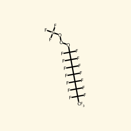 FC(F)(F)C(F)(F)C(F)(F)C(F)(F)C(F)(F)C(F)(F)C(F)(F)C(F)(F)OOO[Si](F)(F)F